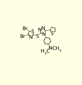 CN(C)c1ccc(-n2c(Sc3nc(Br)c(Br)s3)nnc2-c2cccs2)cc1